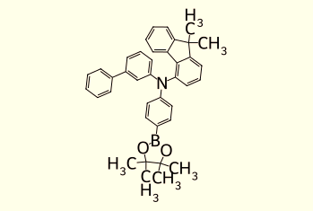 CC1(C)c2ccccc2-c2c(N(c3ccc(B4OC(C)(C)C(C)(C)O4)cc3)c3cccc(-c4ccccc4)c3)cccc21